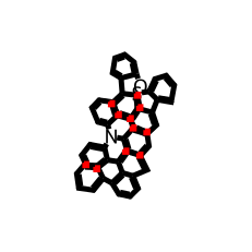 c1ccc(-c2cccc3cccc(-c4ccccc4N(c4ccccc4-c4ccc5c(c4)oc4ccccc45)c4ccccc4-c4cccc5c4sc4ccccc45)c23)cc1